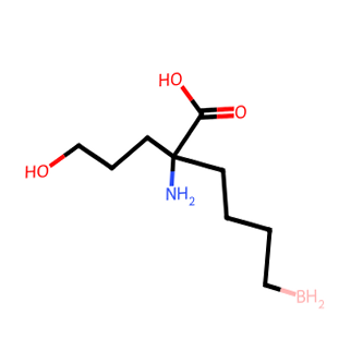 BCCCCC(N)(CCCO)C(=O)O